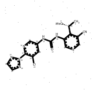 CO[C@H](C)c1c(C#N)cncc1NC(=O)Nc1cnc(-n2nccn2)c(Cl)c1